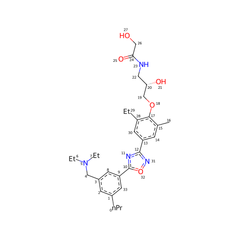 CCCc1cc(CN(CC)CC)cc(-c2nc(-c3cc(C)c(OC[C@@H](O)CNC(=O)CO)c(CC)c3)no2)c1